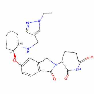 CCn1cc(CN[C@H]2CCCC[C@@H]2Oc2ccc3c(c2)CN(C2CCC(=O)NC2=O)C3=O)cn1